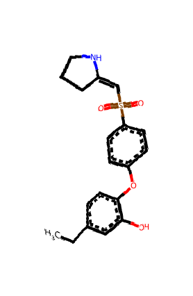 CCc1ccc(Oc2ccc(S(=O)(=O)C=C3CCCN3)cc2)c(O)c1